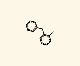 Fc1ccccc1Cc1ccccc1